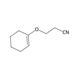 N#CCCOC1=CCCCC1